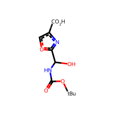 CC(C)(C)OC(=O)NC(O)c1nc(C(=O)O)co1